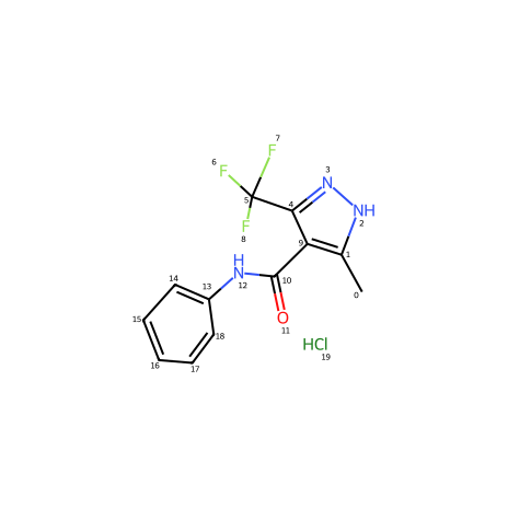 Cc1[nH]nc(C(F)(F)F)c1C(=O)Nc1ccccc1.Cl